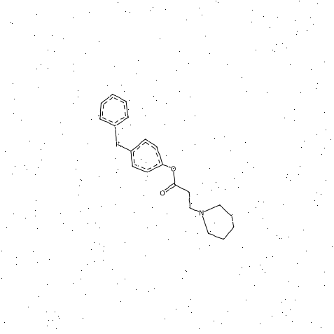 O=C(CCN1CCCCC1)Oc1ccc([I+]c2ccccc2)cc1